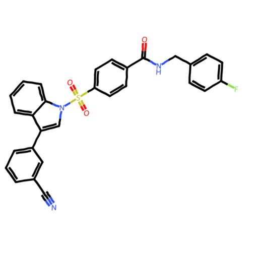 N#Cc1cccc(-c2cn(S(=O)(=O)c3ccc(C(=O)NCc4ccc(F)cc4)cc3)c3ccccc23)c1